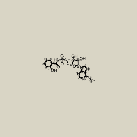 CC(C)Oc1ncnc2c1ncn2[C@@H]1O[C@H](CNS(=O)(=O)NC(=O)c2ccccc2O)[C@@H](O)[C@H]1O